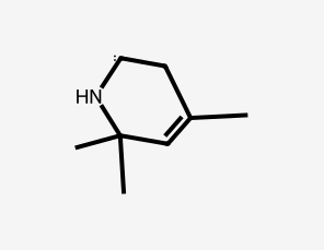 CC1=CC(C)(C)N[C]C1